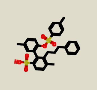 Cc1ccc(S(=O)(=O)Oc2ccc(C)cc2-c2c(S(=O)(=O)O)ccc(C)c2CCCc2ccccc2)cc1